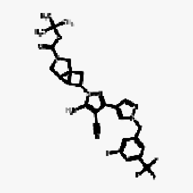 CC(C)(C)OC(=O)N1CC2C3[C@H](n4nc(-c5cnn(Cc6cc(F)cc(C(F)(F)F)c6)c5)c(C#N)c4N)C[C@]23C1